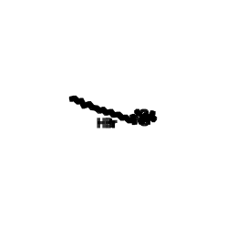 Br.C=C(C)C(=O)OC(C)NC(C)(C)CCCCCCCCCCCCCCCCC